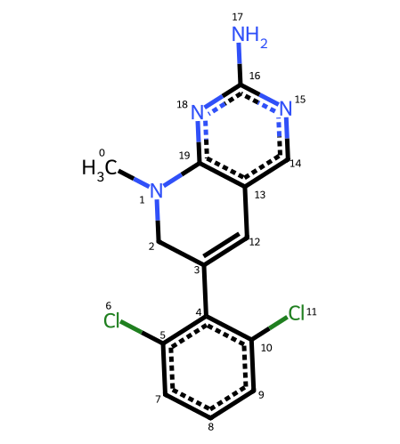 CN1CC(c2c(Cl)cccc2Cl)=Cc2cnc(N)nc21